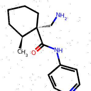 C[C@H]1CCCC[C@@]1(CN)C(=O)Nc1ccncc1